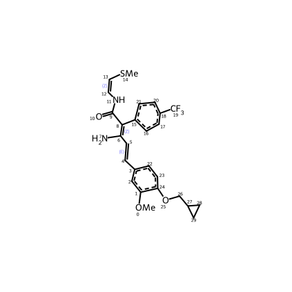 COc1cc(/C=C/C(N)=C(/C(=O)N/C=C\SC)c2ccc(C(F)(F)F)cc2)ccc1OCC1CC1